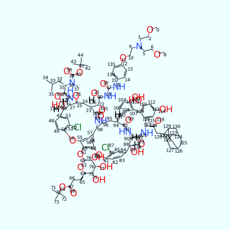 COCCN(CCOC)CCOc1ccc(NC(=O)NC(=O)C[C@@H]2CC(=O)[C@H](NC(=O)[C@@H](CC(C)C)N(C)C(=O)OC(C)(C)C)[C@H](O)c3ccc(c(Cl)c3)Oc3cc4cc(c3O[C@@H]3O[C@H](CCC(=O)OC(C)(C)C)[C@@H](O)[C@H](O)[C@H]3O)Oc3ccc(cc3Cl)[C@@H](O)[C@@H]3NC(=O)[C@H](CC(=O)C4NC2=O)c2ccc(O)c(c2)-c2c(O)cc(O)cc2[C@@H](C(=O)CC2C4CC5CC(C4)CC2C5)NC3=O)cc1